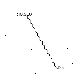 CCCCCCCCCCCCCCCCCCCCCCCCCCCCCCCCCC(=O)S(=O)(=O)O